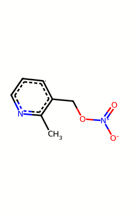 Cc1ncc[c]c1CO[N+](=O)[O-]